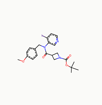 COc1ccc(CN(C(=O)C2CN(C(=O)OC(C)(C)C)C2)c2cnccc2I)cc1